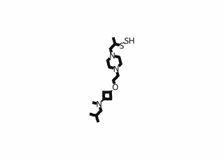 CC(C)CN(C)[C@H]1C[C@H](OCCN2CCN(CC(C)SS)CC2)C1